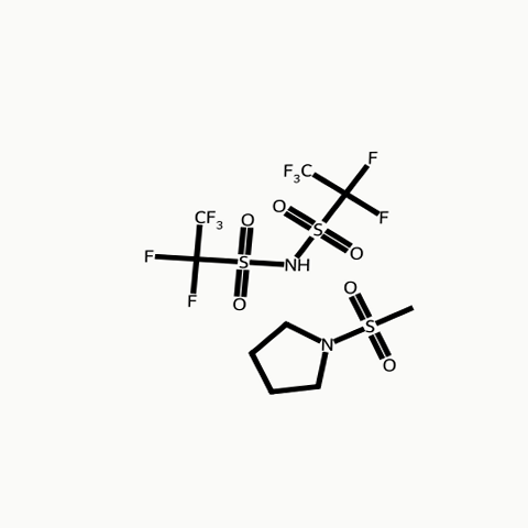 CS(=O)(=O)N1CCCC1.O=S(=O)(NS(=O)(=O)C(F)(F)C(F)(F)F)C(F)(F)C(F)(F)F